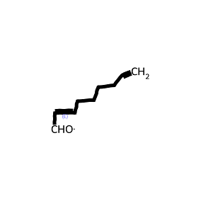 C=CCCCC/C=C/[C]=O